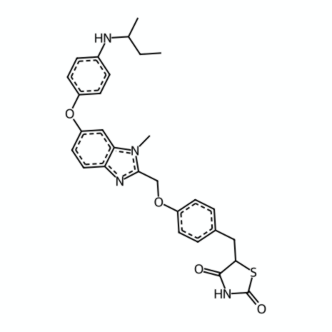 CCC(C)Nc1ccc(Oc2ccc3nc(COc4ccc(CC5SC(=O)NC5=O)cc4)n(C)c3c2)cc1